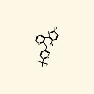 CCc1ccc(CC)c(-c2cccnc2Cc2ccc(C(C)(F)F)nc2)n1